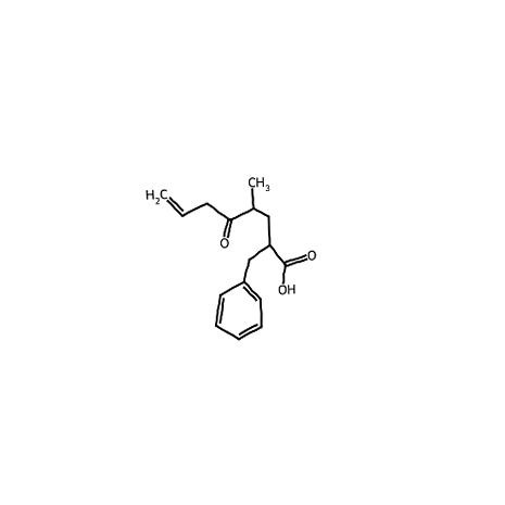 C=CCC(=O)C(C)CC(Cc1ccccc1)C(=O)O